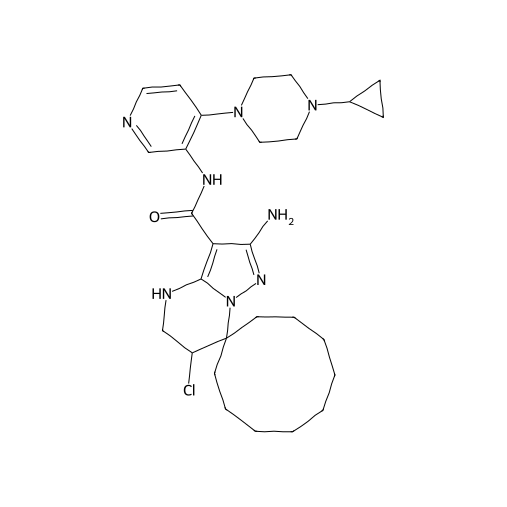 Nc1nn2c(c1C(=O)Nc1cnccc1N1CCN(C3CC3)CC1)NCC(Cl)C21CCCCCCCCC1